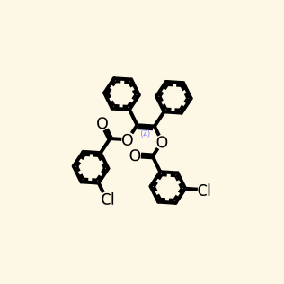 O=C(O/C(=C(\OC(=O)c1cccc(Cl)c1)c1ccccc1)c1ccccc1)c1cccc(Cl)c1